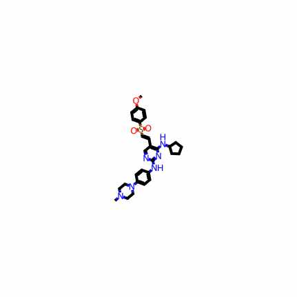 COc1ccc(S(=O)(=O)C=Cc2cnc(Nc3ccc(N4CCN(C)CC4)cc3)nc2NC2CCCC2)cc1